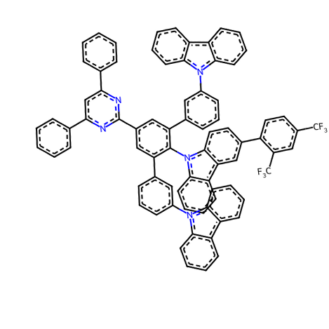 FC(F)(F)c1ccc(-c2ccc3c(c2)c2ccccc2n3-c2c(-c3cccc(-n4c5ccccc5c5ccccc54)c3)cc(-c3nc(-c4ccccc4)cc(-c4ccccc4)n3)cc2-c2cccc(-n3c4ccccc4c4ccccc43)c2)c(C(F)(F)F)c1